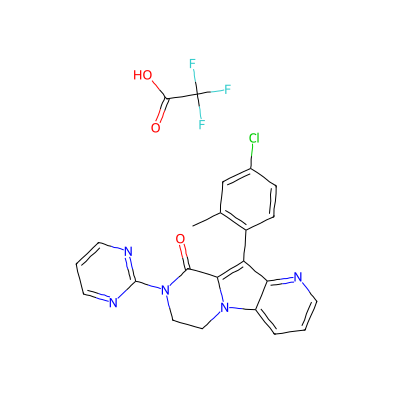 Cc1cc(Cl)ccc1-c1c2n(c3cccnc13)CCN(c1ncccn1)C2=O.O=C(O)C(F)(F)F